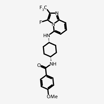 COc1ccc(C(=O)N[C@H]2CC[C@@H](Nc3cccc4nc(C(F)(F)F)c(F)n34)CC2)cc1